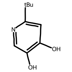 CC(C)(C)c1cc(O)c(O)cn1